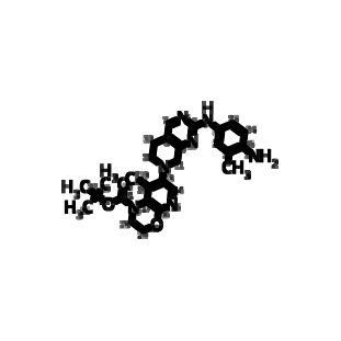 Cc1cc(Nc2ncc3c(n2)CN(c2cnc4c(c2Cl)N(C(=O)OC(C)(C)C)CCO4)CC3)ccc1N